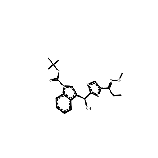 CCC(=NOC)c1csc(C(O)c2cn(C(=O)OC(C)(C)C)c3ccccc23)n1